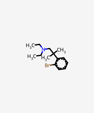 CCN(CC)CC(C)(C)c1ccccc1Br